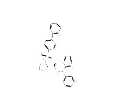 O=C(N[C@H](c1ccccc1)c1ccccn1)[C@@H]1SCCN1S(=O)(=O)c1ccc(-c2ccccc2)cc1